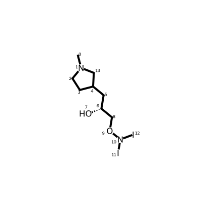 CN1CCC(C[C@@H](O)CON(I)I)C1